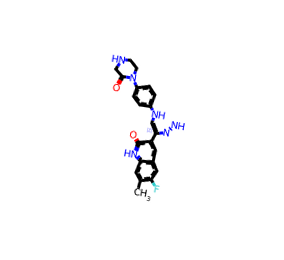 Cc1cc2[nH]c(=O)c(/C(=C/Nc3ccc(N4CCNCC4=O)cc3)N=N)cc2cc1F